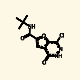 CC(C)(C)NC(=O)c1cc2c(=O)[nH]nc(Cl)c2o1